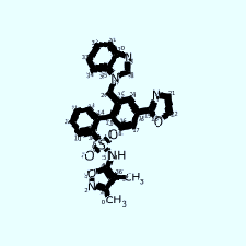 Cc1noc(NS(=O)(=O)c2ccccc2-c2ccc(-c3ncco3)cc2Cn2cnc3ccccc32)c1C